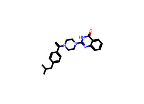 C=C(c1ccc(CC(C)C)cc1)N1CCN(c2nc3ccccc3c(=O)[nH]2)CC1